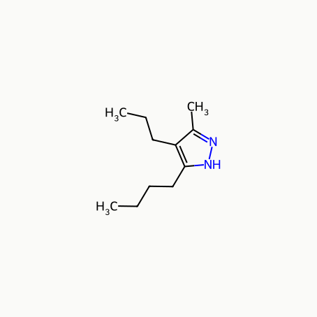 CCCCc1[nH]nc(C)c1CCC